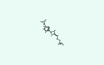 NCCC=C1CC(n2ccc(C3CC3)n2)C1